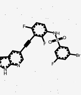 O=S(=O)(Nc1ccc(F)c(C#Cc2cnc3[nH]ncc3c2)c1F)c1cc(F)cc(Br)c1